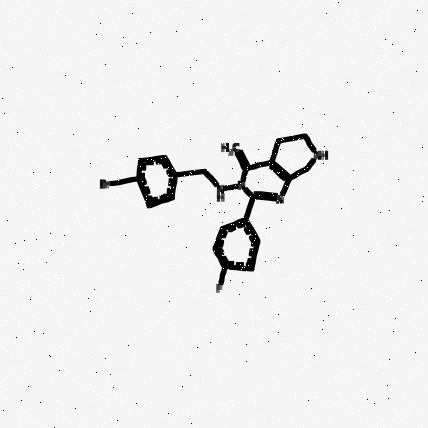 C=C1C2=C(CNCC2)N=C(c2ccc(F)cc2)N1NCc1ccc(Br)cc1